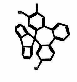 Cc1cc2c(cc1Br)C1(c3cc(Br)ccc3-c3ccccc3-2)c2ccccc2-c2ccccc21